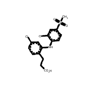 CS(=O)(=O)c1ccc(Nc2cc(Cl)ccc2CCC(=O)O)c(Cl)c1